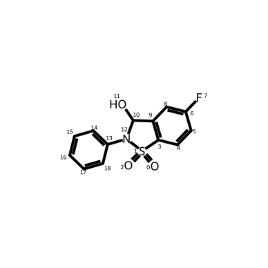 O=S1(=O)c2ccc(F)cc2C(O)N1c1ccccc1